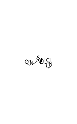 Clc1ncccc1-c1cn2c(n1)SCC2CN1CCOCC1